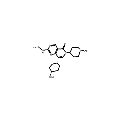 CCCC(C)Nc1ncc2c(=O)n(C3CCN(C(C)=O)CC3)cc([C@H]3CC[C@H](OC(C)=O)CC3)c2n1